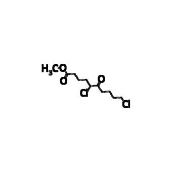 COC(=O)CCCC(Cl)C(=O)CCCCCl